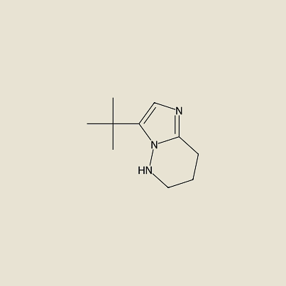 CC(C)(C)c1cnc2n1NCCC2